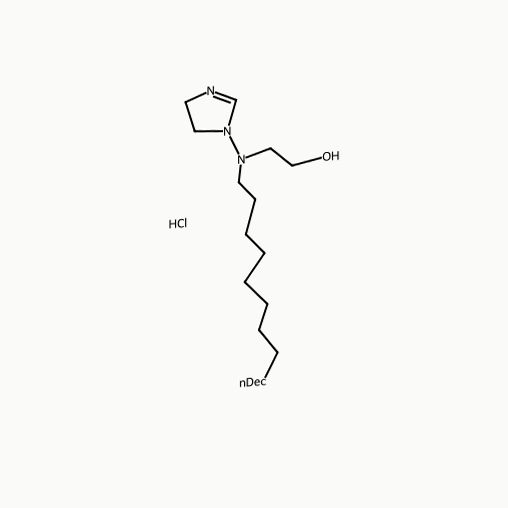 CCCCCCCCCCCCCCCCCCN(CCO)N1C=NCC1.Cl